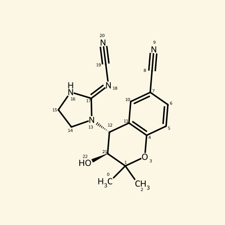 CC1(C)Oc2ccc(C#N)cc2[C@@H](N2CCNC2=NC#N)[C@@H]1O